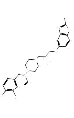 Cc1nc2cc(OC[C@H](O)CN3CCN(N(C=S)Cc4ccc(Cl)c(Cl)c4)CC3)ccc2s1